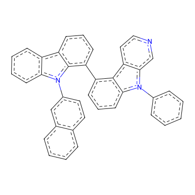 c1ccc(-n2c3cnccc3c3c(-c4cccc5c6ccccc6n(-c6ccc7ccccc7c6)c45)cccc32)cc1